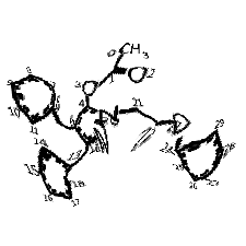 CC(=O)Oc1c(-c2ccccc2)c(-c2ccccc2)nn1CCOc1ccccc1